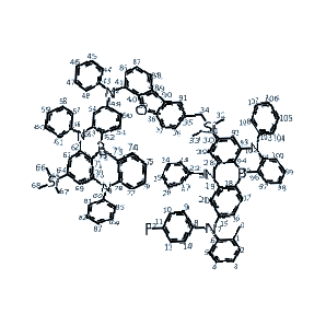 Cc1ccccc1N(c1ccc(F)cc1)c1ccc2c(c1)N(c1ccccc1)c1cc([Si](C)(C)Cc3ccc4oc5c(N(c6ccccc6)c6ccc7c(c6)N(c6ccccc6)c6cc([Si](C)(C)C)cc8c6B7c6ccccc6N8c6ccccc6)cccc5c4c3)cc3c1B2c1ccccc1N3c1ccccc1